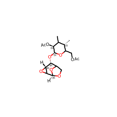 CC(=O)OCC1O[C@@H](O[C@@H]2C3CO[C@H](O3)C3O[C@@H]32)[C@@H](OC(C)=O)C(C)[C@@H]1C